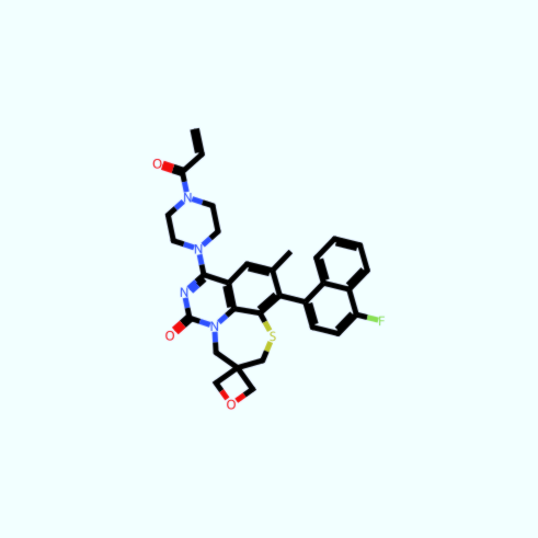 C=CC(=O)N1CCN(c2nc(=O)n3c4c(c(-c5ccc(F)c6ccccc56)c(C)cc24)SCC2(COC2)C3)CC1